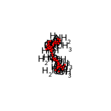 CC(=O)N[C@@H](CCN)C(=O)N[C@@H](Cc1cn(CC(=O)O)c2ccccc12)C(=O)N(C)CC(=O)N(C)CC(=O)N[C@@H](CN)C(=O)NCCSCC(=O)N[C@@H](Cc1ccc(O)cc1)C(=O)N1CCCC[C@H]1C(=O)NCC(=O)N1CCC[C@H]1C(=O)NCC(=O)N[C@@H](CC(C)C)C(=O)N1CCC[C@H]1C(N)=O